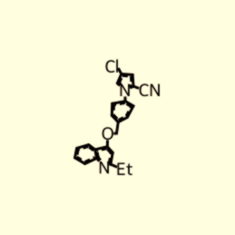 CCc1cc(OCc2ccc(-n3cc(Cl)cc3C#N)cc2)c2ccccc2n1